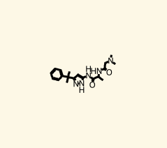 CC(NC(=O)CN(C)C)C(=O)Nc1cc(C(C)(C)c2ccccc2)n[nH]1